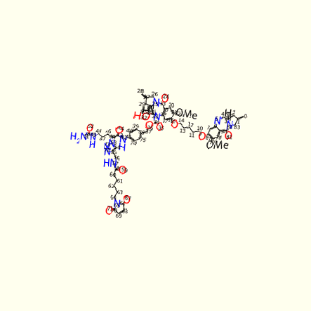 C=C1C[C@H]2C=Nc3cc(OCCCCCOc4cc5c(cc4OC)C(=O)N4CC(=C)C[C@H]4[C@H](O)N5C(=O)OCc4ccc(NC(=O)[C@H](CCCNC(N)=O)n5cc(CNC(=O)CCCCCN6C(=O)C=CC6=O)nn5)cc4)c(OC)cc3C(=O)N2C1